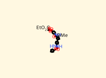 CCOC(=O)OC(C)OC(=O)C1CCC(NC(=O)c2cc(-c3ccc(C(=N)NC(=O)OCc4ccccc4)cc3)ccc2OC)CC1